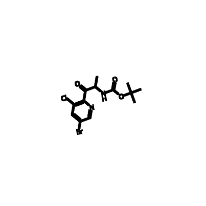 CC(NC(=O)OC(C)(C)C)C(=O)c1ncc(Br)cc1Cl